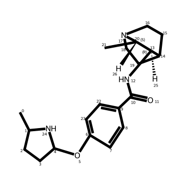 CC1CCC(Oc2ccc(C(=O)N[C@@H]3C4CCN(CC4)[C@H]3C)cc2)N1